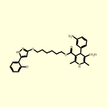 CCOC(=O)C1=C(C)NC(C)=C(C(=O)OCCCCCCOc2cc(-c3ccccc3Cl)[nH]n2)C1c1cccc([N+](=O)[O-])c1